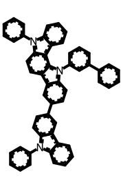 c1ccc(-c2cccc(-n3c4ccc(-c5ccc6c(c5)c5ccccc5n6-c5ccccc5)cc4c4ccc5c(c6ccccc6n5-c5ccccc5)c43)c2)cc1